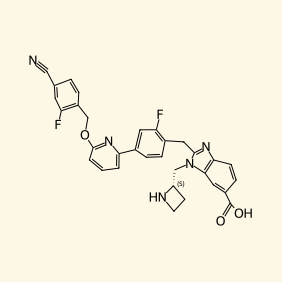 N#Cc1ccc(COc2cccc(-c3ccc(Cc4nc5ccc(C(=O)O)cc5n4C[C@@H]4CCN4)c(F)c3)n2)c(F)c1